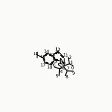 CC(C)[Si](C(C)C)(C(C)C)n1ccc2cc(I)ccc21